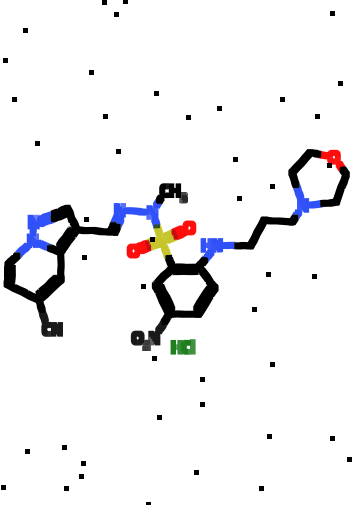 CN(N=Cc1cnn2ccc(C#N)cc12)S(=O)(=O)c1cc([N+](=O)[O-])ccc1NCCCN1CCOCC1.Cl